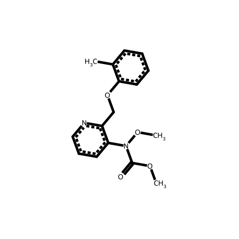 COC(=O)N(OC)c1cccnc1COc1ccccc1C